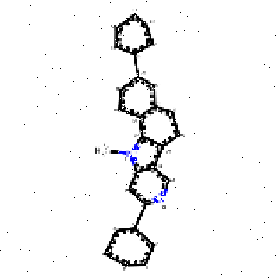 Cn1c2cc(-c3ccccc3)ncc2c2ccc3cc(-c4ccccc4)ccc3c21